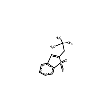 CC(C)(C)CC1=Cc2ccccc2S1(=O)=O